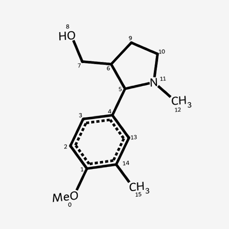 COc1ccc(C2C(CO)CCN2C)cc1C